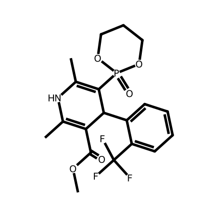 COC(=O)C1=C(C)NC(C)=C(P2(=O)OCCCO2)C1c1ccccc1C(F)(F)F